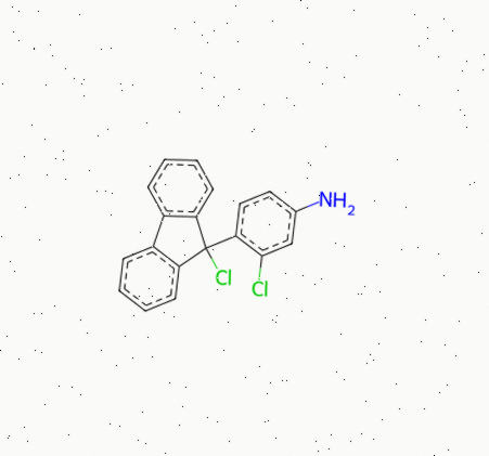 Nc1ccc(C2(Cl)c3ccccc3-c3ccccc32)c(Cl)c1